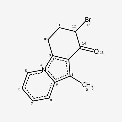 Cc1c2c(n3ccccc13)CCC(Br)C2=O